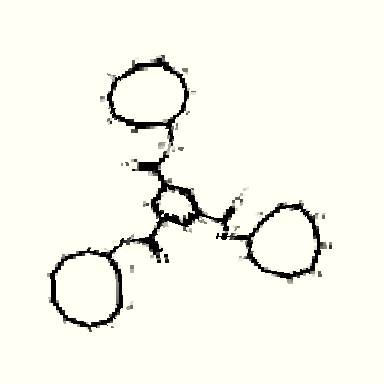 O=C(NC1CCCCCCCCC1)c1cc(C(=O)NC2CCCCCCCCC2)cc(C(=O)NC2CCCCCCCCC2)c1